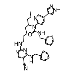 CCCC(CCCCNc1ncc(C#N)c(NCc2ccccc2)n1)N(C(=O)NCc1ccccc1)c1ccc(-c2cnn(C)c2)cn1